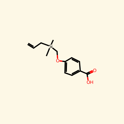 C=CC[Si](C)(C)COc1ccc(C(=O)O)cc1